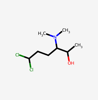 CC(O)C(CCC(Cl)Cl)N(C)C